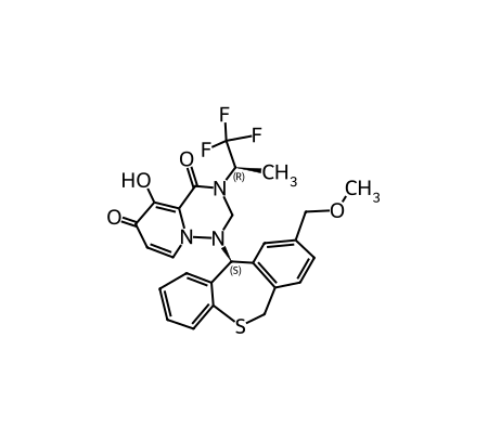 COCc1ccc2c(c1)[C@H](N1CN([C@H](C)C(F)(F)F)C(=O)c3c(O)c(=O)ccn31)c1ccccc1SC2